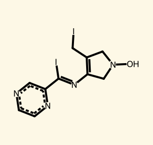 ON1CC(CI)=C(/N=C(\I)c2cnccn2)C1